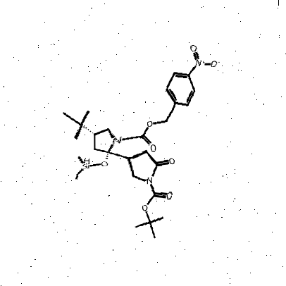 C[SiH](C)O[C@]1(C2CC(=O)N(C(=O)OC(C)(C)C)C2)C[C@H](C(C)(C)C)CN1C(=O)OCc1ccc([N+](=O)[O-])cc1